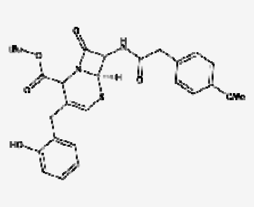 COc1ccc(CC(=O)NC2C(=O)N3C(C(=O)OC(C)(C)C)C(Cc4ccccc4O)=CS[C@H]23)cc1